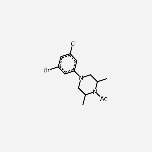 CC(=O)N1C(C)CN(c2cc(Cl)cc(Br)c2)CC1C